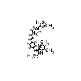 CCc1nc2c(C)cc(C)nc2n1Cc1ccc(C=CCN2CCN(CCN(C)C)CC2)cc1